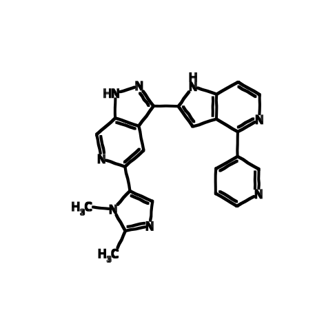 Cc1ncc(-c2cc3c(-c4cc5c(-c6cccnc6)nccc5[nH]4)n[nH]c3cn2)n1C